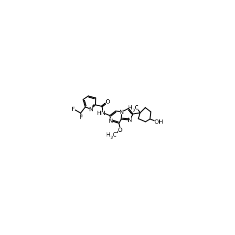 COc1nc(NC(=O)c2cccc(C(F)F)n2)cn2cc(C3(C)CCC(O)CC3)nc12